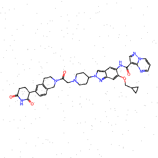 O=C1CCC(c2ccc3c(c2)CCN(C(=O)CN2CCC(n4cc5cc(NC(=O)c6cnn7cccnc67)c(OCC6CC6)cc5n4)CC2)C3)C(=O)N1